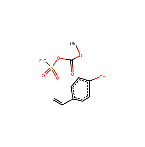 C=Cc1ccc(O)cc1.CC(C)(C)OC(=O)OS(=O)(=O)C(F)(F)F